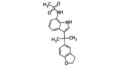 CC(C)(c1ccc2c(c1)CCO2)c1c[nH]c2c(NS(C)(=O)=O)cccc12